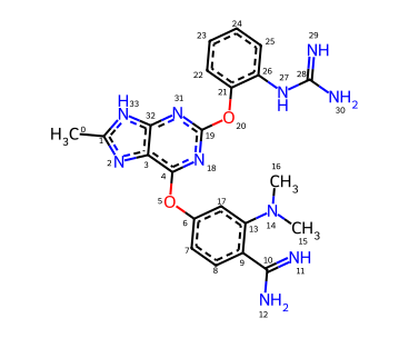 Cc1nc2c(Oc3ccc(C(=N)N)c(N(C)C)c3)nc(Oc3ccccc3NC(=N)N)nc2[nH]1